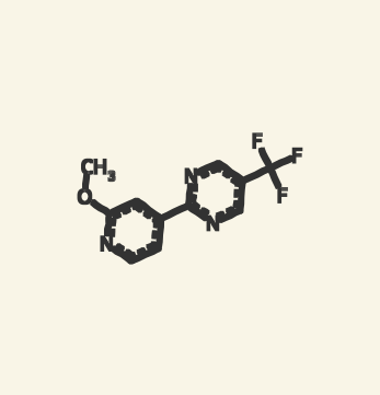 COc1cc(-c2ncc(C(F)(F)F)cn2)ccn1